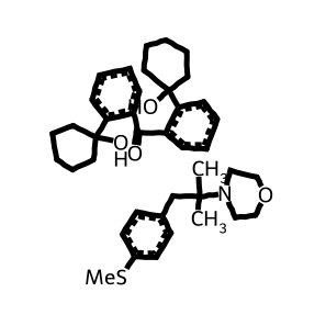 CSc1ccc(CC(C)(C)N2CCOCC2)cc1.O=C(c1ccccc1C1(O)CCCCC1)c1ccccc1C1(O)CCCCC1